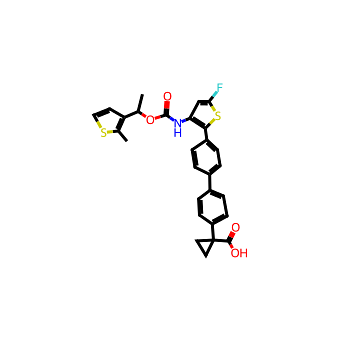 Cc1sccc1C(C)OC(=O)Nc1cc(F)sc1-c1ccc(-c2ccc(C3(C(=O)O)CC3)cc2)cc1